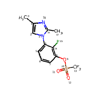 Cc1cn(-c2cccc(OS(=O)(=O)C(F)(F)F)c2F)c(C)n1